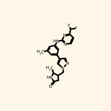 Cc1cc(Nc2nccc(C(F)F)n2)cc(-c2cnn(CC3CC(=O)NC3C)c2)c1